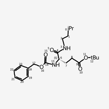 CC(C)CCNC(=O)[C@H](CCC(=O)OC(C)(C)C)NC(=O)OCc1ccccc1